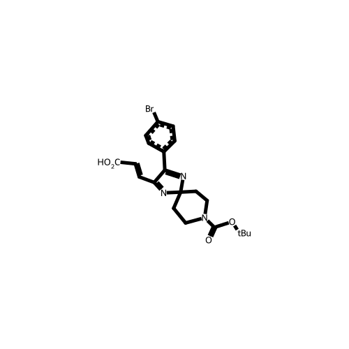 CC(C)(C)OC(=O)N1CCC2(CC1)N=C(C=CC(=O)O)C(c1ccc(Br)cc1)=N2